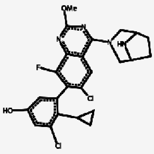 COc1nc(N2CC3CCC(C2)N3)c2cc(Cl)c(-c3cc(O)cc(Cl)c3C3CC3)c(F)c2n1